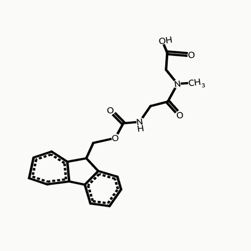 CN(CC(=O)O)C(=O)CNC(=O)OCC1c2ccccc2-c2ccccc21